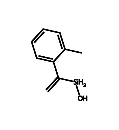 C=C([SiH2]O)c1ccccc1C